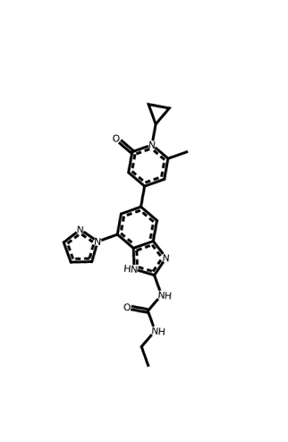 CCNC(=O)Nc1nc2cc(-c3cc(C)n(C4CC4)c(=O)c3)cc(-n3cccn3)c2[nH]1